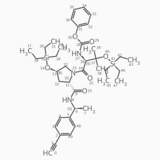 C#Cc1ccc([C@H](C)NC(=O)[C@@H]2C[C@@H](O[Si](CC)(CC)CC)CN2C(=O)[C@@H](NC(=O)Oc2ccccc2)C(C)(C)O[Si](CC)(CC)CC)cc1